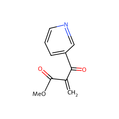 C=C(C(=O)OC)C(=O)c1cccnc1